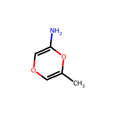 CC1=COC=C(N)O1